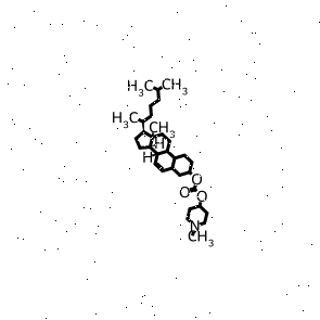 CC(C)CCCC(C)[C@@H]1CC[C@@H]2[C@H]3C=CC4CC(OC(=O)OC5CCN(C)CC5)CCC4C3CC[C@]21C